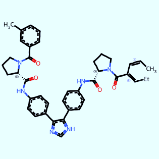 C/C=C\C(=C/CC)C(=O)N1CCC[C@H]1C(=O)Nc1ccc(-c2[nH]cnc2-c2ccc(NC(=O)[C@@H]3CCCN3C(=O)c3cccc(C)c3)cc2)cc1